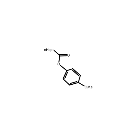 CCCCCCCC(=O)Oc1ccc(OC)cc1